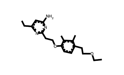 CCOCCc1ccc(OCCc2nc(N)cc(CC)n2)c(C)c1C